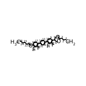 C=CCCC1OCC(c2ccc(-c3ccc(-c4ccc(OCCCCCC)c(F)c4F)cc3)c(F)c2F)CO1